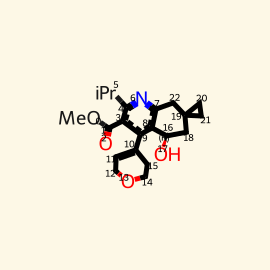 COC(=O)c1c(C(C)C)nc2c(c1C1=CCOCC1)[C@H](O)CC1(CC1)C2